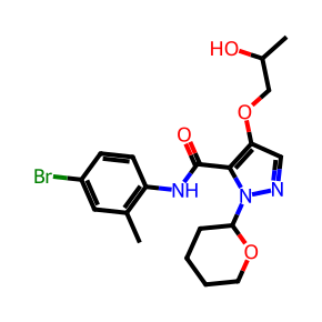 Cc1cc(Br)ccc1NC(=O)c1c(OCC(C)O)cnn1C1CCCCO1